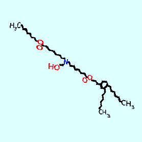 CCCCCCCCCOC(=O)CCCCCCCN(CCO)CCCCCCCC(=O)OCCCc1ccc(CCCCCCC)c(CCCCCCC)c1